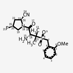 COc1ccccc1CS(=O)(=O)C(C)(C)[C@H](N)C(=O)N1C[C@@H](F)C[C@H]1C#N